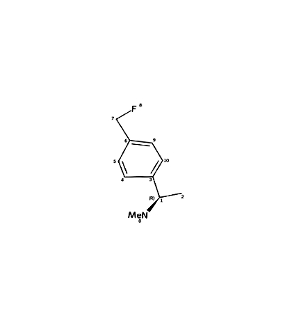 CN[C@H](C)c1ccc(CF)cc1